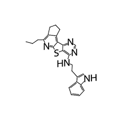 CCCc1nc2sc3c(NCCc4c[nH]c5ccccc45)ncnc3c2c2c1CCC2